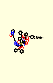 COc1ccc(COC(C(=O)N[C@@H]2C(=O)N3C[C@@](C(=O)OC(c4ccccc4)c4ccccc4)(N4CCN(N=CC=CC=CC(=O)N5CCCCC5)C4=O)S[C@H]23)(C(=O)OC(c2ccccc2)c2ccccc2)c2ccccc2)cc1